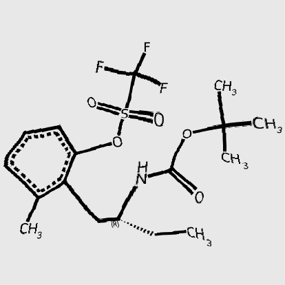 CC[C@H](Cc1c(C)cccc1OS(=O)(=O)C(F)(F)F)NC(=O)OC(C)(C)C